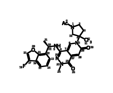 CC(=O)N1CCC(n2cc3c(N[C@H](C)c4cccc5c(F)coc45)nn(C)c(=O)c3cc2=O)(C(F)(F)F)C1